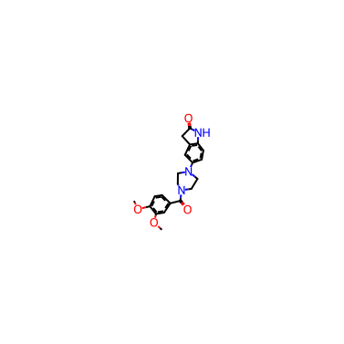 COc1ccc(C(=O)N2CCN(c3ccc4c(c3)CC(=O)N4)CC2)cc1OC